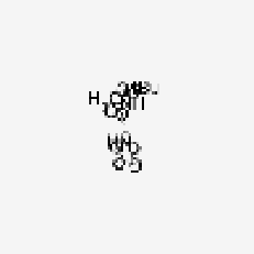 C[C@H](NC(=O)OC(C)(C)C)C(=O)OCCCCNc1cccc2c1C(=O)c1ccccc1C2=O